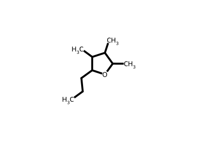 CCCC1OC(C)C(C)C1C